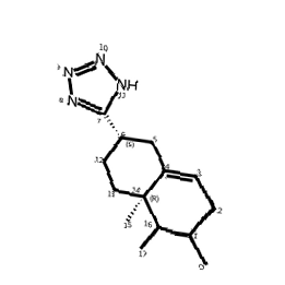 CC1CC=C2C[C@@H](c3nnn[nH]3)CC[C@]2(C)C1C